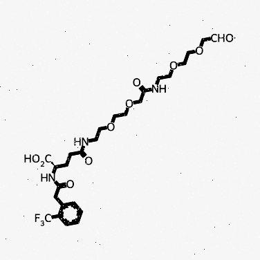 O=[C]COCCOCCNC(=O)COCCOCCNC(=O)CC[C@H](NC(=O)Cc1ccccc1C(F)(F)F)C(=O)O